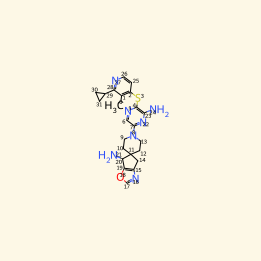 Cc1c(Sc2ncc(N3CCC4(CC3)Cc3ncoc3[C@H]4N)nc2N)ccnc1C1CC1